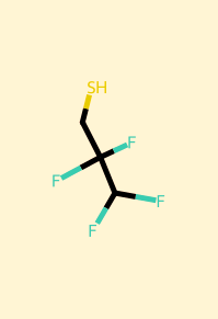 FC(F)C(F)(F)CS